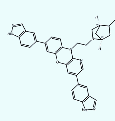 CC1C[C@@H]2C[C@H]1CN2CCN1c2ccc(-c3ccc4[nH]ncc4c3)cc2Oc2cc(-c3ccc4[nH]ncc4c3)cnc21